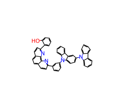 Oc1ccccc1-c1ccc2ccc3ccc(-c4cccc(-n5c6ccccc6c6cc(-n7c8ccccc8c8ccccc87)ccc65)c4)nc3c2n1